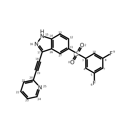 O=S(=O)(c1cc(F)cc(F)c1)c1ccc2[nH]nc(C#Cc3ccccn3)c2c1